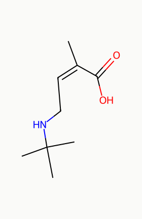 CC(=CCNC(C)(C)C)C(=O)O